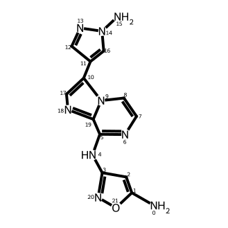 Nc1cc(Nc2nccn3c(-c4cnn(N)c4)cnc23)no1